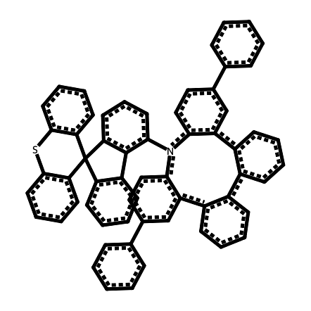 c1ccc(-c2ccc3c(c2)c2ccccc2c2ccccc2c2cc(-c4ccccc4)ccc2n3-c2cccc3c2-c2ccccc2C32c3ccccc3Sc3ccccc32)cc1